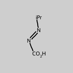 CC(C)/N=N/C(=O)O